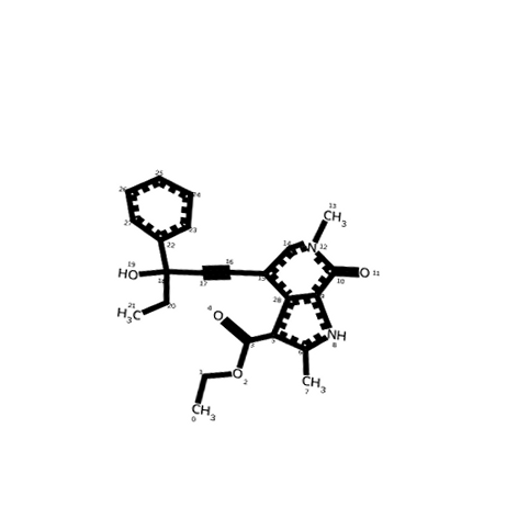 CCOC(=O)c1c(C)[nH]c2c(=O)n(C)cc(C#CC(O)(CC)c3ccccc3)c12